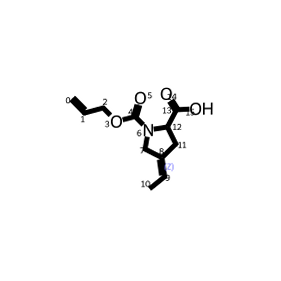 C=CCOC(=O)N1C/C(=C\C)CC1C(=O)O